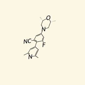 Cc1cc(-c2c(F)cc(N3C[C@@H](C)O[C@@H](C)C3)cc2C#N)cc(C)n1